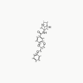 O=C(N[C@@H]1C[C@@H]2CCN(C2)C1)c1ccc2c(c1)OC[C@@H](COc1ccccc1)O2